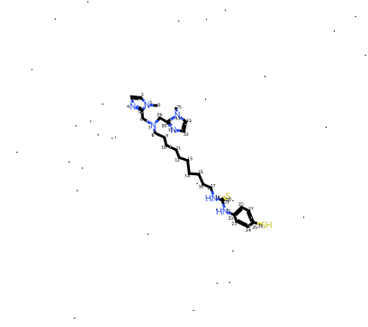 Cn1ccnc1CN(CCCCCCCCCCNC(=S)Nc1ccc(S)cc1)Cc1nccn1C